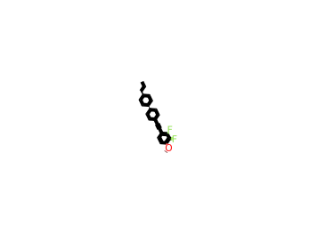 CCC[C@H]1CC[C@H](C2CCC(C#Cc3ccc(OC)c(F)c3F)CC2)CC1